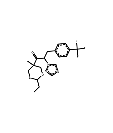 CCC1OCC(C)(C(=O)C(Cc2ccc(C(F)(F)F)cc2)n2cncn2)CO1